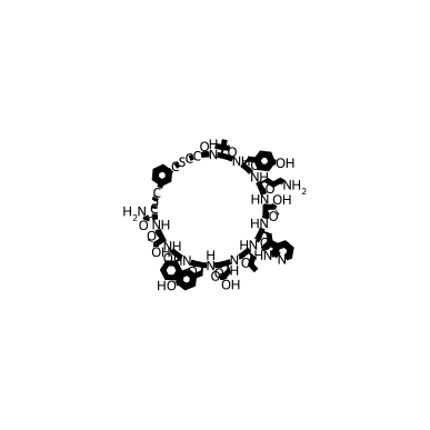 CCC[C@@H]1NC(=O)[C@H](Cc2c[nH]c3ncccc23)NC(=O)[C@H]([C@@H](C)O)NC(=O)[C@H](CCCN)NC(=O)[C@H](Cc2ccc(O)cc2)NC(=O)[C@H](C(C)(C)C)NC(=O)CCSCc2cccc(c2)CSC[C@@H](C(N)=O)NC(=O)[C@H]([C@@H](C)O)NC(=O)[C@H](C2CCCCC2)NC(=O)[C@H](Cc2ccc(O)cc2)NC(=O)[C@H](CC(=O)O)NC1=O